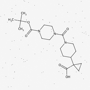 CC(C)(C)OC(=O)N1CCN(C(=O)N2CCC(C3(C(=O)O)CC3)CC2)CC1